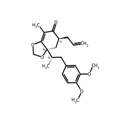 C=CC[C@H]1C[C@]2([C@@H](C)Cc3ccc(OC)c(OC)c3)OCOC2=C(C)C1=O